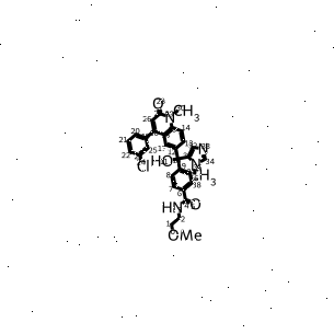 COCCNC(=O)c1ccc(C(O)(c2ccc3c(c2)c(-c2cccc(Cl)c2)cc(=O)n3C)c2cncn2C)cc1